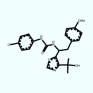 COc1ccc(CC(NC(=O)Nc2ccc(Cl)cc2)c2ocnc2C(C)(C)O)cc1